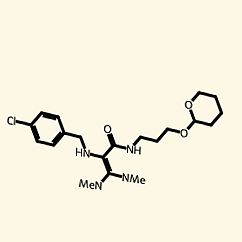 CNC(NC)=C(NCc1ccc(Cl)cc1)C(=O)NCCCOC1CCCCO1